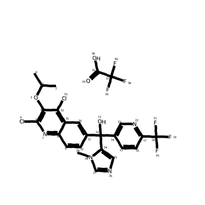 CC(C)Oc1c(Cl)nc2ccc(C(O)(c3ccc(C(F)(F)F)nc3)c3cncn3C)cc2c1Cl.O=C(O)C(F)(F)F